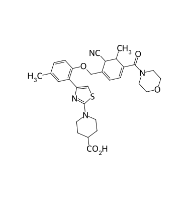 Cc1ccc(OCC2=CC=C(C(=O)N3CCOCC3)C(C)C2C#N)c(-c2csc(N3CCC(C(=O)O)CC3)n2)c1